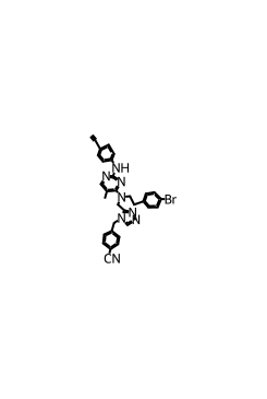 C#Cc1ccc(Nc2ncc(C)c(N(CCc3ccc(Br)cc3)Cc3nncn3Cc3ccc(C#N)cc3)n2)cc1